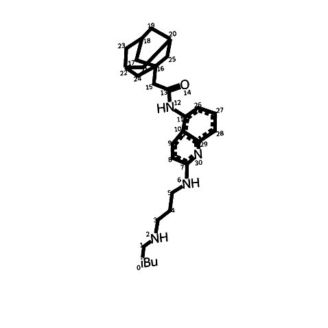 CCC(C)CNCCCNc1ccc2c(NC(=O)CC34CC5CC(CC(C5)C3)C4)cccc2n1